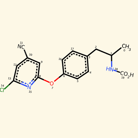 CC(Cc1ccc(Oc2cc(C#N)cc(Cl)n2)cc1)NC(=O)O